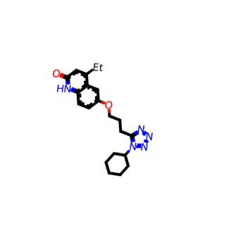 CCc1cc(=O)[nH]c2ccc(OCCCc3nnnn3C3CCCCC3)cc12